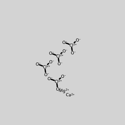 [Ca+2].[Mg+2].[O-][Cl+2]([O-])[O-].[O-][Cl+2]([O-])[O-].[O-][Cl+2]([O-])[O-].[O-][Cl+2]([O-])[O-]